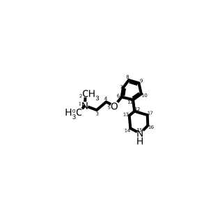 CN(C)CCOc1ccccc1C1CCNCC1